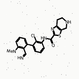 CNc1cccc(-c2cccc(NC(=O)c3nc4c(s3)CNCC4)c2Cl)c1C=N